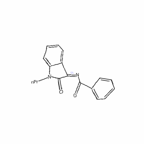 CCCN1C(=O)/C(=N\C(=O)c2ccccc2)c2ccccc21